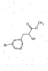 COC(=O)C(S)Cc1cccc(Br)c1